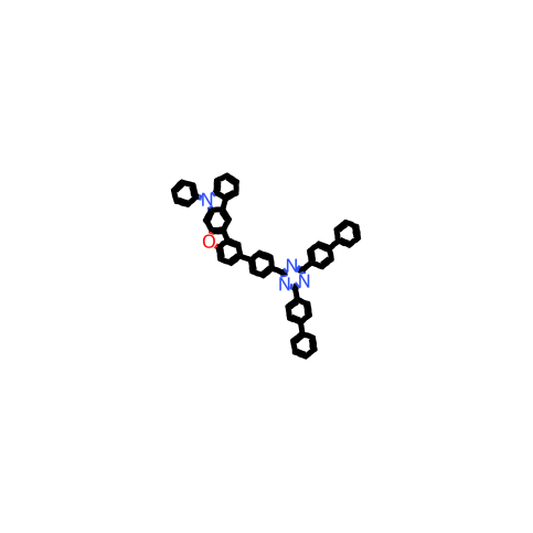 c1ccc(-c2ccc(-c3nc(-c4ccc(-c5ccccc5)cc4)nc(-c4ccc(-c5ccc6oc7cc8c(cc7c6c5)c5ccccc5n8-c5ccccc5)cc4)n3)cc2)cc1